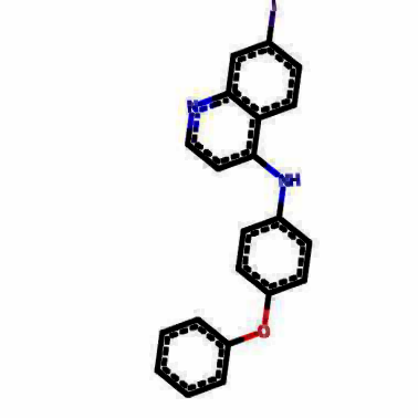 Ic1ccc2c(Nc3ccc(Oc4ccccc4)cc3)ccnc2c1